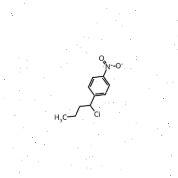 CCCC(Cl)c1ccc([N+](=O)[O-])cc1